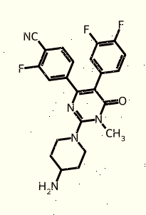 Cn1c(N2CCC(N)CC2)nc(-c2ccc(C#N)c(F)c2)c(-c2ccc(F)c(F)c2)c1=O